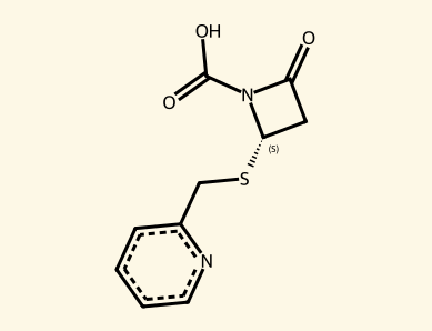 O=C(O)N1C(=O)C[C@@H]1SCc1ccccn1